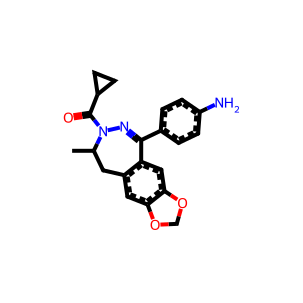 CC1Cc2cc3c(cc2C(c2ccc(N)cc2)=NN1C(=O)C1CC1)OCO3